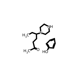 CCC(CCC(C)=O)N1CCNCC1.Oc1ccccc1